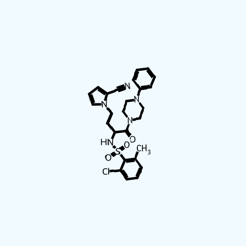 Cc1cccc(Cl)c1S(=O)(=O)NC(CCn1cccc1C#N)C(=O)N1CCN(c2ccccc2)CC1